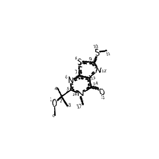 COC(C)(C)c1nc2sc(SC)nc2c(=O)n1C